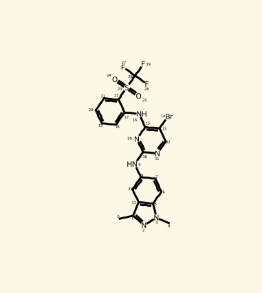 Cc1nn(C)c2ccc(Nc3ncc(Br)c(Nc4ccccc4S(=O)(=O)C(F)(F)F)n3)cc12